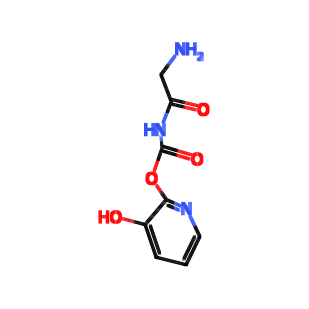 NCC(=O)NC(=O)Oc1ncccc1O